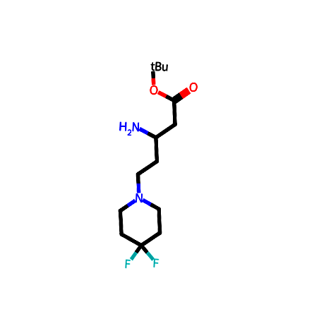 CC(C)(C)OC(=O)CC(N)CCN1CCC(F)(F)CC1